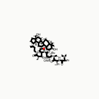 C=C(CCNC(=O)[C@H](C)[C@@H](OC)C1CCCN1C(=O)C[C@@H](OC)[C@H]([C@@H](C)CC)N(C)C(=O)[C@@H](NC(=O)[C@H](C(C)C)N(C)C)C(C)C)[C@@H]1CC[C@]2(CO)CC[C@]3(C)C(CCC4[C@@]5(C)CC[C@H](O)C(C)(C)[C@@H]5CC[C@]43C)[C@@H]12